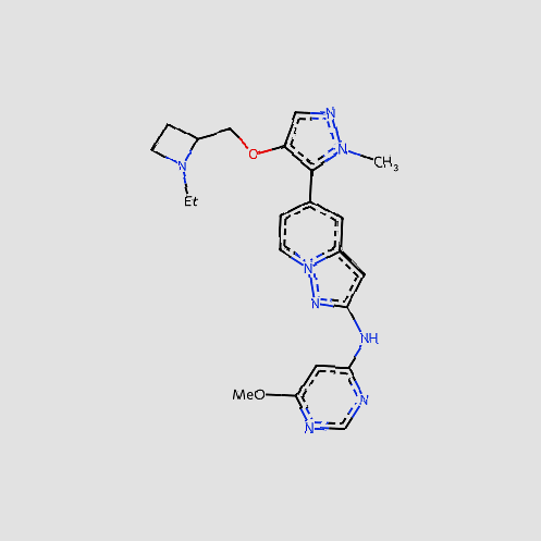 CCN1CCC1COc1cnn(C)c1-c1ccn2nc(Nc3cc(OC)ncn3)cc2c1